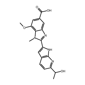 COc1cc(C(=O)O)cc2nc(-c3cc4ccc(C(C)O)nc4[nH]3)n(C)c12